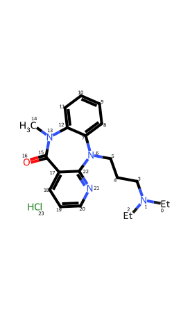 CCN(CC)CCCN1c2ccccc2N(C)C(=O)c2cccnc21.Cl